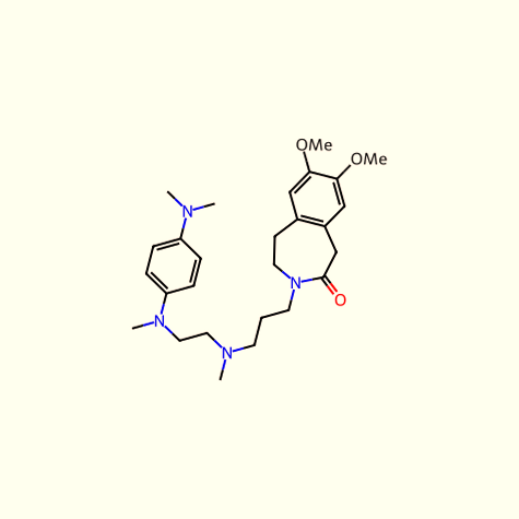 COc1cc2c(cc1OC)CC(=O)N(CCCN(C)CCN(C)c1ccc(N(C)C)cc1)CC2